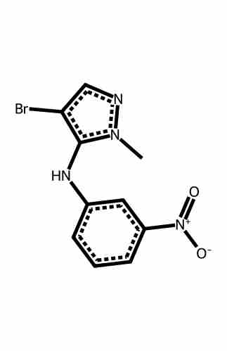 Cn1ncc(Br)c1Nc1cccc([N+](=O)[O-])c1